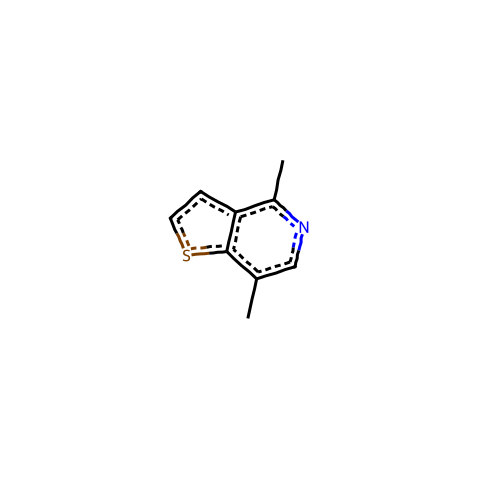 Cc1ncc(C)c2sccc12